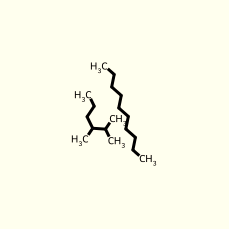 CCCC(C)C(C)C.CCCCCCCCCC